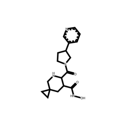 O=C(NO)C1CC2(CC2)CNC1C(=O)N1CCC(c2cccnc2)C1